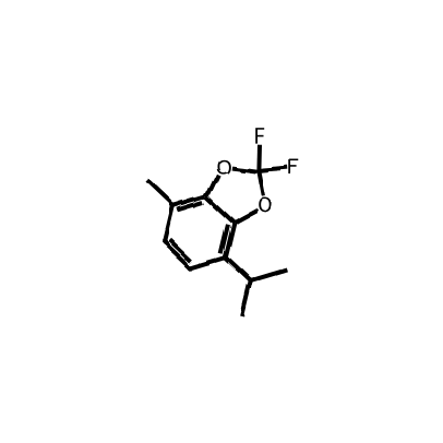 Cc1ccc(C(C)C)c2c1OC(F)(F)O2